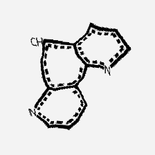 C.c1cnc2c(c1)ccc1ncccc12